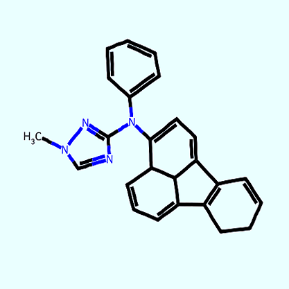 Cn1cnc(N(C2=CC=C3C4=C(CCC=C4)C4=CC=CC2C34)c2ccccc2)n1